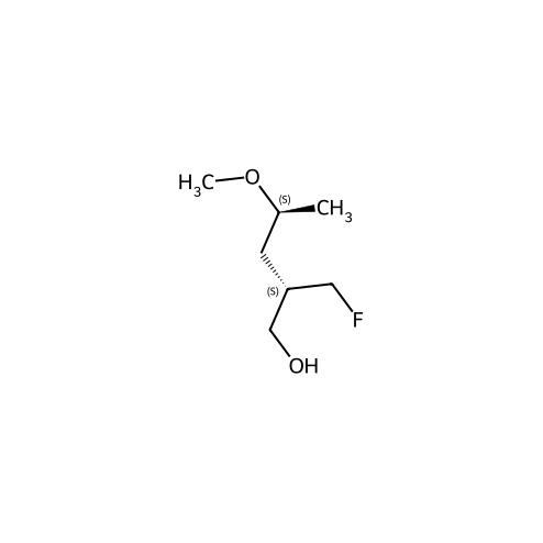 CO[C@@H](C)C[C@@H](CO)CF